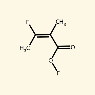 CC(F)=C(C)C(=O)OF